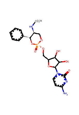 Nc1ccn(C2OC(CO[P@@]3(=O)OC[C@H](NC(=O)O)[C@@H](c4ccccc4)O3)C(O)C2O)c(=O)n1